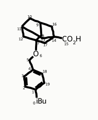 CCC(C)c1ccc(COC23CC4CC(C2)CC(C(=O)O)(C4)C3)cc1